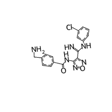 N=C(Nc1cccc(Cl)c1)c1nonc1NC(=O)c1ccc(CN)cc1